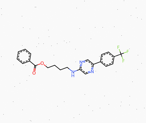 O=C(OCCCCNc1cnc(-c2ccc(C(F)(F)F)cc2)cn1)c1ccccc1